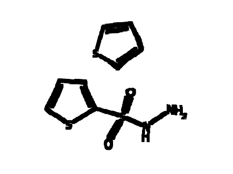 NNS(=O)(=O)c1cccs1.c1ccsc1